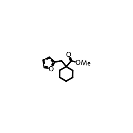 COC(=O)C1(Cc2ccco2)CCCCC1